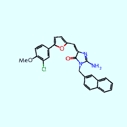 COc1ccc(-c2ccc(/C=C3/N=C(N)N(Cc4ccc5ccccc5c4)C3=O)o2)cc1Cl